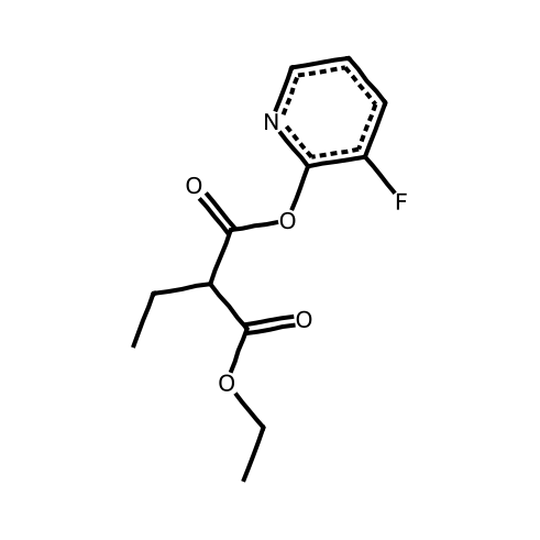 CCOC(=O)C(CC)C(=O)Oc1ncccc1F